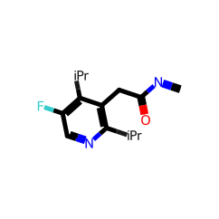 C=NC(=O)Cc1c(C(C)C)ncc(F)c1C(C)C